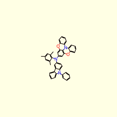 Cc1cc(C)c(N(c2cc3c4c(c2)Oc2ccccc2N4c2ccccc2O3)c2ccc3c(c2)c2ccccc2n3-c2ccccc2)c(C)c1